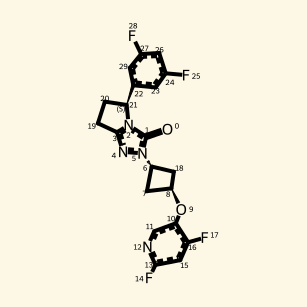 O=c1n2c(nn1[C@H]1C[C@H](Oc3cnc(F)cc3F)C1)CC[C@H]2c1cc(F)cc(F)c1